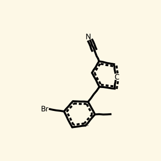 Cc1[c]cc(Br)cc1-c1cccc(C#N)c1